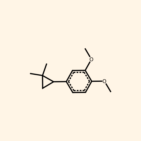 COc1ccc(C2CC2(C)C)cc1OC